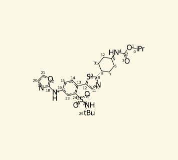 CC(C)OC(=O)N[C@H]1CC[C@H](c2ncc(-c3ccc(Nc4ncco4)cc3S(=O)(=O)NC(C)(C)C)s2)CC1